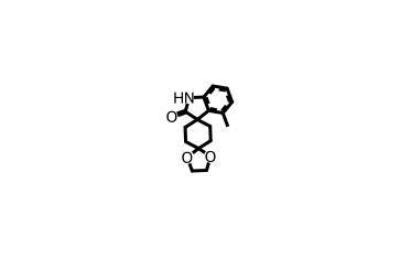 Cc1cccc2c1C1(CCC3(CC1)OCCO3)C(=O)N2